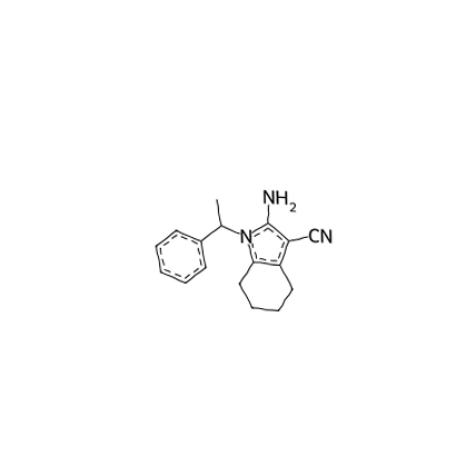 CC(c1ccccc1)n1c(N)c(C#N)c2c1CCCC2